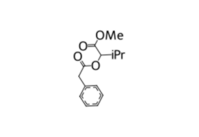 COC(=O)C(OC(=O)Cc1ccccc1)C(C)C